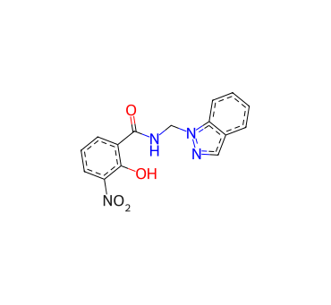 O=C(NCn1ncc2ccccc21)c1cccc([N+](=O)[O-])c1O